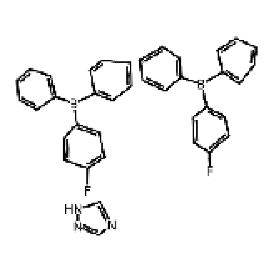 Fc1ccc(B(c2ccccc2)c2ccccc2)cc1.Fc1ccc(B(c2ccccc2)c2ccccc2)cc1.c1nc[nH]n1